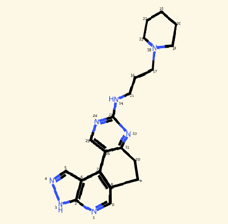 c1nc2[nH]ncc2c2c1CCc1nc(NCCCN3CCCCC3)ncc1-2